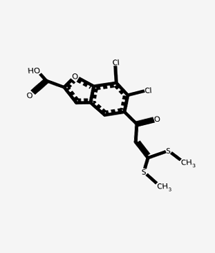 CSC(=CC(=O)c1cc2cc(C(=O)O)oc2c(Cl)c1Cl)SC